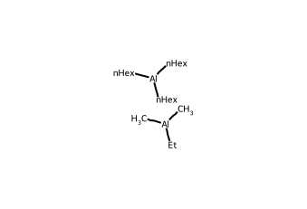 CCCCC[CH2][Al]([CH2]CCCCC)[CH2]CCCCC.C[CH2][Al]([CH3])[CH3]